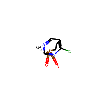 C.O=S1(=O)CCc2cnc1nc2Cl